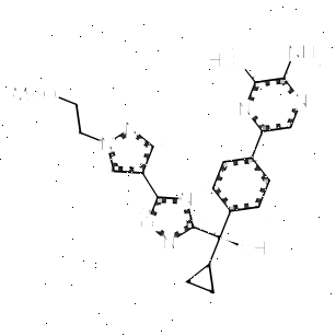 COCCn1cc(-c2nc([C@](C)(c3ccc(-c4cnc(N)c(C)n4)cc3)C3CC3)no2)cn1